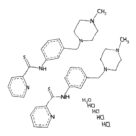 CN1CCN(Cc2cccc(NC(=S)c3ccccn3)c2)CC1.CN1CCN(Cc2cccc(NC(=S)c3ccccn3)c2)CC1.Cl.Cl.Cl.Cl.O